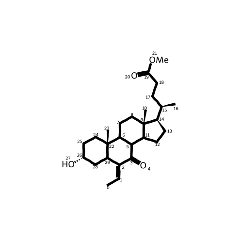 C/C=C1/C(=O)C2C(CC[C@@]3(C)C2CC[C@@H]3[C@H](C)CCC(=O)OC)[C@@]2(C)CC[C@@H](O)CC12